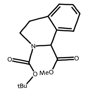 COC(=O)C1c2ccccc2CCN1C(=O)OC(C)(C)C